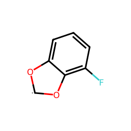 Fc1cccc2c1O[CH]O2